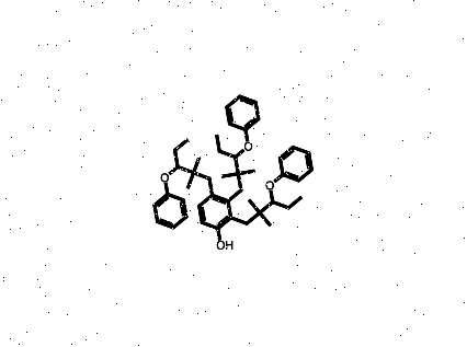 CCC(Oc1ccccc1)C(C)(C)Cc1ccc(O)c(CC(C)(C)C(CC)Oc2ccccc2)c1CC(C)(C)C(CC)Oc1ccccc1